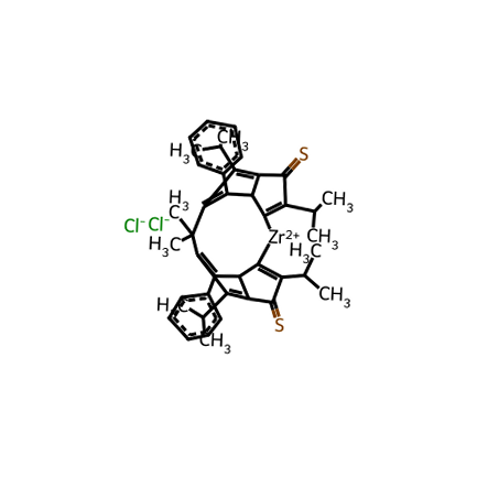 CC(C)C1=[C]2[Zr+2][C]3=C(C(C)C)C(=S)C4=C(C(C)C)C(=C(c5ccccc5)C34)C(C)(C)C3=C(c4ccccc4)C2C(=C3C(C)C)C1=S.[Cl-].[Cl-]